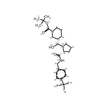 CC(C)(C)OC(=O)N1CCC[C@H](C(O)N2CCC[C@@H]2C(=O)NCc2ccc(C(F)(F)F)cc2)C1